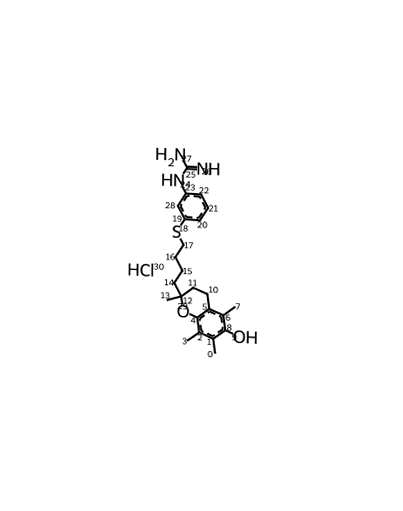 Cc1c(C)c2c(c(C)c1O)CCC(C)(CCCCSc1cccc(NC(=N)N)c1)O2.Cl